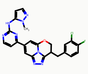 Cn1nccc1Nc1nccc(-c2cc3n4c(nnc4c2)C(Cc2ccc(F)c(Cl)c2)CO3)n1